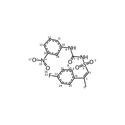 CC(=CS(=O)(=O)NC(=O)Nc1cccc([N+](=O)[O-])c1)c1ccc(F)cc1